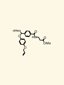 C=CCOc1ccc(OC(CCCCCC)c2ccc(C(=O)NCCC(=O)OC)cc2)cc1